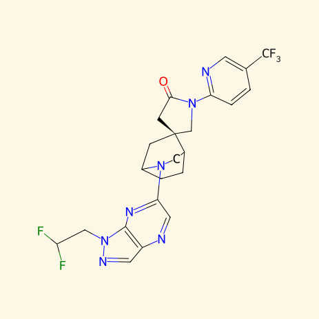 O=C1C[C@@]2(CC3CCC2CN3c2cnc3cnn(CC(F)F)c3n2)CN1c1ccc(C(F)(F)F)cn1